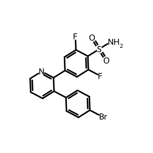 NS(=O)(=O)c1c(F)cc(-c2ncccc2-c2ccc(Br)cc2)cc1F